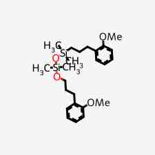 COc1ccccc1CCCO[Si](C)(C)O[Si](C)(C)CCCc1ccccc1OC